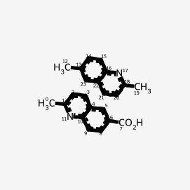 Cc1ccc2cc(C(=O)O)ccc2n1.Cc1ccc2nc(C)ccc2c1